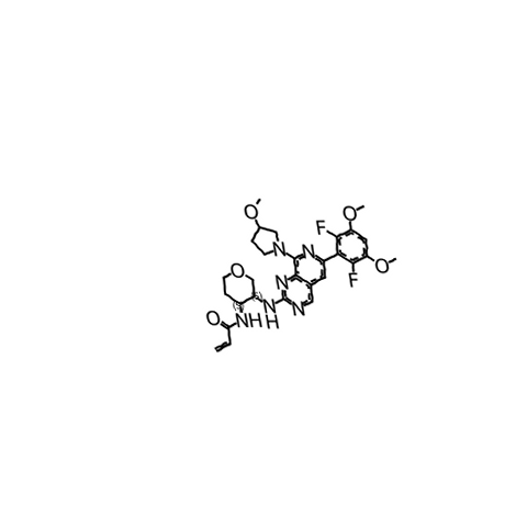 C=CC(=O)N[C@H]1CCOC[C@H]1Nc1ncc2cc(-c3c(F)c(OC)cc(OC)c3F)nc(N3CCC(OC)C3)c2n1